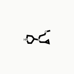 COCCN(CC1CC1)C1CCNCC1